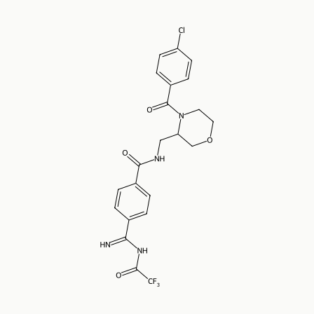 N=C(NC(=O)C(F)(F)F)c1ccc(C(=O)NCC2COCCN2C(=O)c2ccc(Cl)cc2)cc1